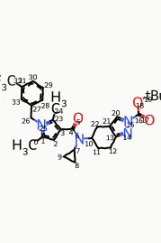 Cc1cc(C(=O)N(C2CC2)C2CCc3nn(C(=O)OC(C)(C)C)cc3C2)c(C)n1Cc1cccc(C(F)(F)F)c1